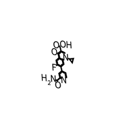 NC(=O)c1cc(-c2cc3c(cc2F)c(=O)c(C(=O)O)cn3C2CC2)ccn1